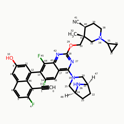 C#Cc1c(F)ccc2cc(O)cc(-c3c(F)cc4c(N5C[C@H]6CC[C@@H](C5)N6)nc(OC[C@@]5(C)CN(C6CC6)CC[C@@H]5C#N)nc4c3F)c12